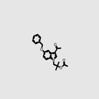 CC(=O)OC(C)(C)Cn1cc(C(C)=O)c2cc(OCc3ccccc3)ccc21